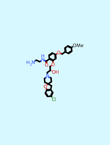 COc1ccc(COc2ccc(C(=O)NCCN)c(OC[C@H](O)CN3CCC4(CC3)Cc3cc(Cl)ccc3O4)c2)cc1